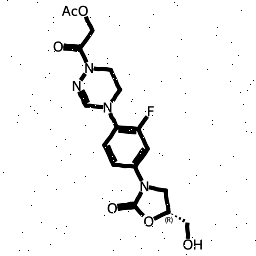 CC(=O)OCC(=O)N1CCN(c2ccc(N3C[C@H](CO)OC3=O)cc2F)C=N1